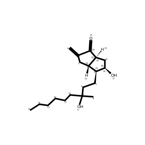 C=C1C[C@H]2[C@H](CCC(C)(O)CCCCCC)[C@H](O)C[C@@H]2C1=O